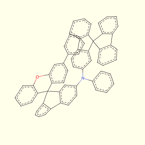 c1ccc(-c2ccc3c(c2)Oc2ccccc2C32c3ccccc3-c3ccc(N(c4ccccc4)c4ccc5c(c4)C4(c6ccccc6-c6ccccc64)c4ccccc4-5)cc32)cc1